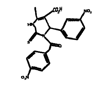 CC1=C(C(=O)O)C(c2cccc([N+](=O)[O-])c2)N(C(=O)c2ccc([N+](=O)[O-])cc2)C(=S)N1